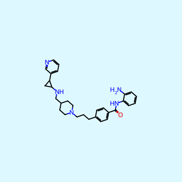 Nc1ccccc1NC(=O)c1ccc(CCCN2CCC(CNC3CC3c3cccnc3)CC2)cc1